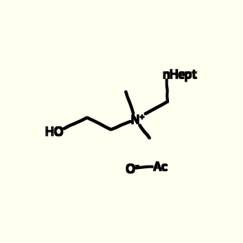 CC(=O)[O-].CCCCCCCC[N+](C)(C)CCO